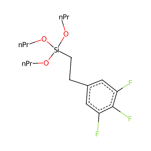 CCCO[Si](CCc1cc(F)c(F)c(F)c1)(OCCC)OCCC